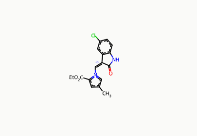 CCOC(=O)c1cc(C)cn1/C=C1\C(=O)Nc2ccc(Cl)cc21